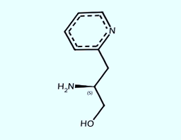 N[C@H](CO)Cc1ccccn1